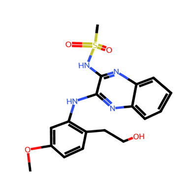 COc1ccc(CCO)c(Nc2nc3ccccc3nc2NS(C)(=O)=O)c1